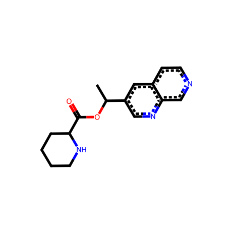 CC(OC(=O)C1CCCCN1)c1cnc2cnccc2c1